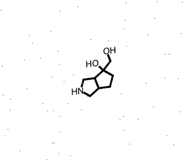 OCC1(O)CCC2CNCC21